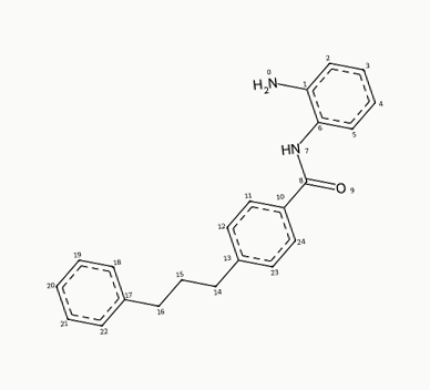 Nc1ccccc1NC(=O)c1ccc(CCCc2ccccc2)cc1